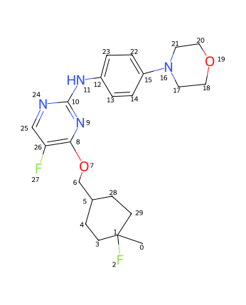 CC1(F)CCC(COc2nc(Nc3ccc(N4CCOCC4)cc3)ncc2F)CC1